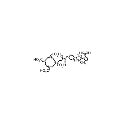 C[C@@H](NC(=O)[C@H]1CC[C@H](CNC(=O)CC[C@H](C(=O)O)N2CCN(CC(=O)O)CCN(CC(=O)O)CCN(CC(=O)O)CC2)CC1)C(=O)N1CCC[C@H]1B(O)O